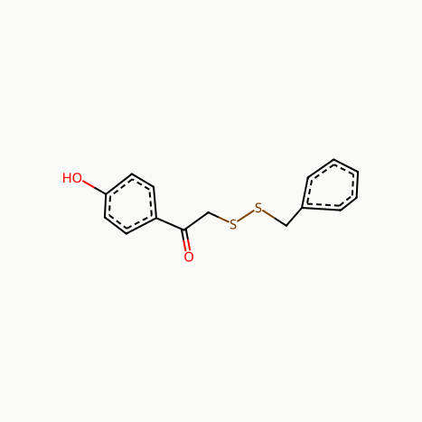 O=C(CSSCc1ccccc1)c1ccc(O)cc1